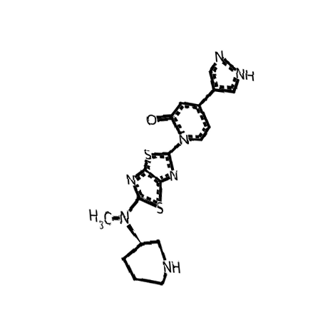 CN(c1nc2sc(-n3ccc(-c4cn[nH]c4)cc3=O)nc2s1)[C@@H]1CCCNC1